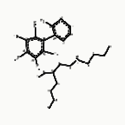 CCCCPCCC(CC)CCCC.Fc1ccccc1-c1c(F)c(F)c(F)c(F)c1F